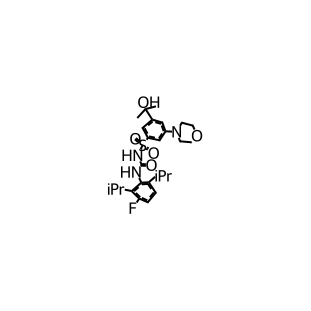 CC(C)c1ccc(F)c(C(C)C)c1NC(=O)NS(=O)(=O)c1cc(N2CCOCC2)cc(C(C)(C)O)c1